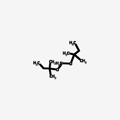 CCC(C)(C)O[SiH2]OC(C)(C)CC